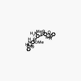 COc1cc2c(cc1OCc1cc(N)cc(COc3cc4c(cc3OC)C(=O)N3c5ccc#cc5C[C@H]3CN4)c1)N=C[C@@H]1Cc3ccccc3N1C2=O